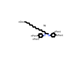 CCCCCCCCCCCCCCCCCCCCCCCC(C=Nc1ccc(CCCCC)c(CCCCC)c1)=Nc1ccc(CCCCC)c(CCCCC)c1.[Ni]